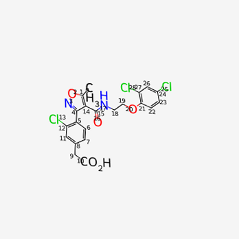 Cc1onc(-c2ccc(CC(=O)O)cc2Cl)c1C(=O)NCCOc1ccc(Cl)cc1Cl